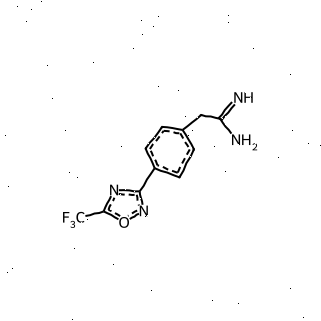 N=C(N)Cc1ccc(-c2noc(C(F)(F)F)n2)cc1